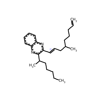 C=CCCCC(C)C/C=C/c1nc2ccccc2nc1C(C)CCCCC